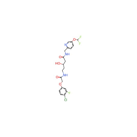 O=C(COc1ccc(Cl)c(F)c1)NCCC(O)CC(=O)NCc1ccc(OC(F)F)cn1